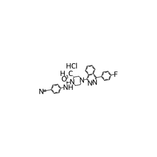 C[C@@H]1CN(c2nnc(-c3ccc(F)cc3)c3ccccc23)CCN1C(=O)Nc1ccc(C#N)cc1.Cl